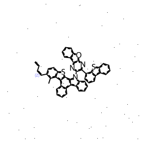 C=C/C=C\c1ccc2sc3c(c4ccccc4c4c5ccccc5n(-c5nc6c(nc5-c5cccc7c5sc5ccccc57)oc5ccccc56)c34)c2c1C